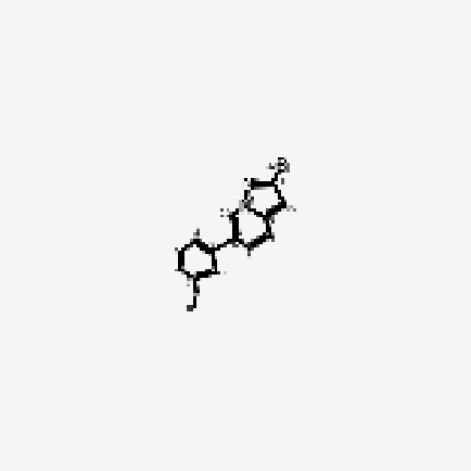 Fc1cccc(-c2ccc3cc(Br)nn3c2)c1